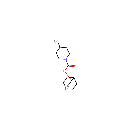 CC1CCN(C(=O)OC2CN3CCC2CC3)CC1